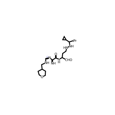 CC(C)C(NNCCC(C=O)NC(=O)C(=N)/N=C\NCC1CCOCC1)C1CC1